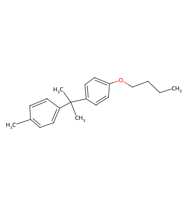 CCCCOc1ccc(C(C)(C)c2ccc(C)cc2)cc1